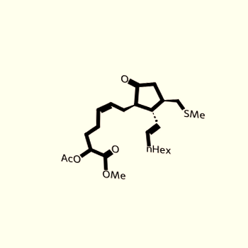 CCCCCC/C=C/[C@H]1[C@H](CSC)CC(=O)[C@@H]1C/C=C\CCC(OC(C)=O)C(=O)OC